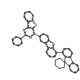 c1ccc(-c2nc(-c3ccc4sc5c(-c6cccc7c6C6(CCCCC6)c6ccccc6-7)cccc5c4c3)c3oc4ccccc4c3n2)cc1